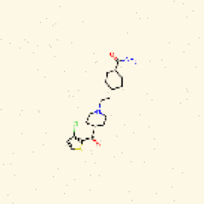 NC(=O)[C@H]1CC[C@H](CCN2CCC(C(=O)c3sccc3Cl)CC2)CC1